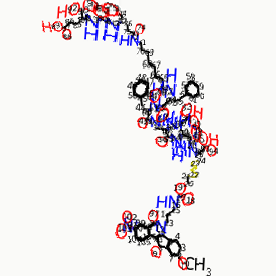 COc1ccc2c(c1)C(=O)c1c-2n(CCCNC(=O)OCCSSC[C@H](NC(=O)[C@H](CC(=O)O)NC(=O)[C@@H](N)CNC(=O)[C@H](Cc2ccccc2)NC(=O)[C@H](Cc2ccccc2)NC(=O)CCCCCCCNC(=O)CC[C@@H](C=O)NC(=O)N[C@@H](CCC(=O)O)C(=O)O)C(=O)O)c(=O)c2cc([N+](=O)[O-])ccc12